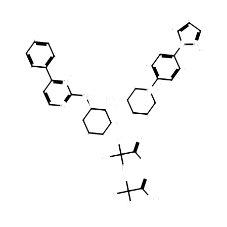 O=C(O)C(F)(F)F.O=C(O)C(F)(F)F.c1ccc(-c2ccnc(N[C@@H]3CCCC[C@H]3N[C@H]3CCCN(c4ccc(-n5cccn5)cc4)C3)n2)cc1